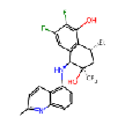 CC[C@@H]1C[C@](O)(C(F)(F)F)[C@@H](Nc2cccc3nc(C)ccc23)c2cc(F)c(F)c(O)c21